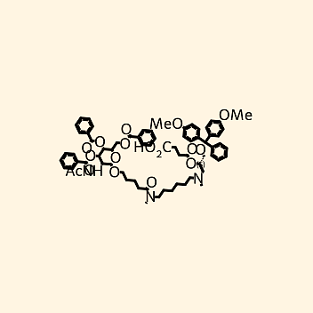 COc1ccc(C(OC[C@H](CN(C)CCCCCCN(C)C(=O)CCCCOC2OC(COC(=O)c3ccccc3)C(OC(=O)c3ccccc3)C(OC(=O)c3ccccc3)C2NC(C)=O)OC(=O)CCC(=O)O)(c2ccccc2)c2ccc(OC)cc2)cc1